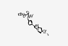 CC(C)(C)OC(=O)NCc1ccc(-c2cn3ccc(C(F)(F)F)cc3n2)cc1